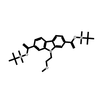 C=C(O[Si](C)(C)C(C)(C)C)c1ccc2c3ccc(C(=C)O[Si](C)(C)C(C)(C)C)cc3n(CCOC)c2c1